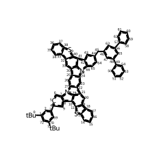 CC(C)(C)c1cc(-c2ccc3c(c2)c2c4sc5ccccc5c4cc4c5cc6c(cc5n3c42)c2cc3c4ccccc4sc3c3c4cc(Cc5cc(-c7ccccc7)cc(-c7ccccc7)c5)ccc4n6c23)cc(C(C)(C)C)c1